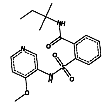 CCC(C)(C)NC(=O)c1ccccc1S(=O)(=O)Nc1cnccc1OC